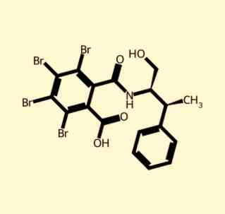 C[C@@H](c1ccccc1)[C@H](CO)NC(=O)c1c(Br)c(Br)c(Br)c(Br)c1C(=O)O